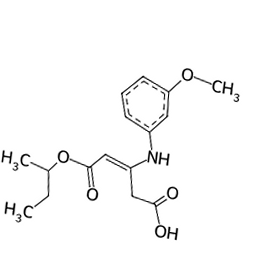 CCC(C)OC(=O)C=C(CC(=O)O)Nc1cccc(OC)c1